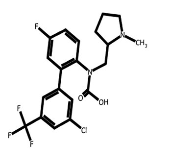 CN1CCCC1CN(C(=O)O)c1ccc(F)cc1-c1cc(Cl)cc(C(F)(F)F)c1